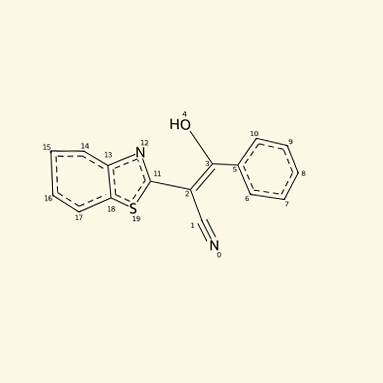 N#CC(=C(O)c1ccccc1)c1nc2ccccc2s1